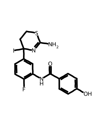 NC1=NC(I)(c2ccc(F)c(NC(=O)c3ccc(O)cc3)c2)CCS1